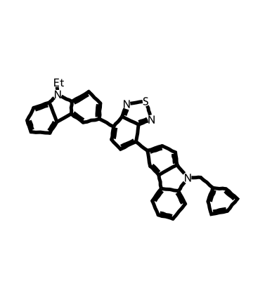 CCn1c2ccccc2c2cc(-c3ccc(-c4ccc5c(c4)c4ccccc4n5Cc4ccccc4)c4nsnc34)ccc21